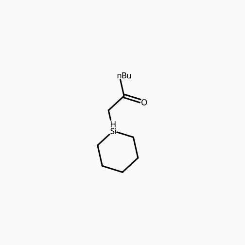 CCCCC(=O)C[SiH]1CCCCC1